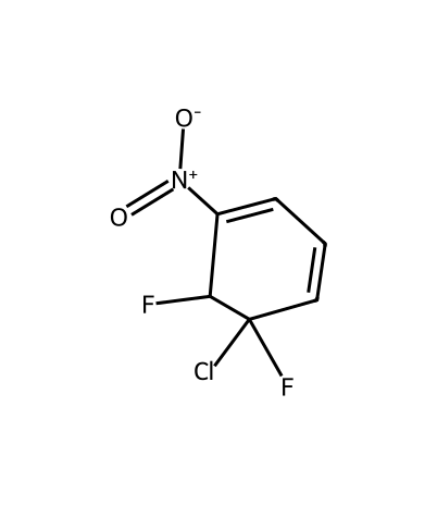 O=[N+]([O-])C1=CC=CC(F)(Cl)C1F